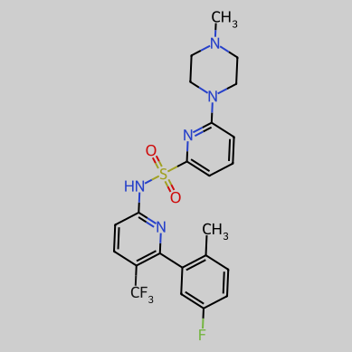 Cc1ccc(F)cc1-c1nc(NS(=O)(=O)c2cccc(N3CCN(C)CC3)n2)ccc1C(F)(F)F